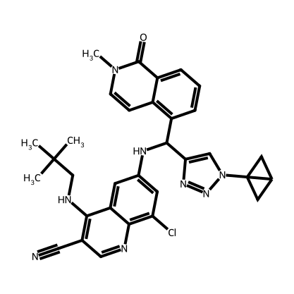 Cn1ccc2c(C(Nc3cc(Cl)c4ncc(C#N)c(NCC(C)(C)C)c4c3)c3cn(C45CC4C5)nn3)cccc2c1=O